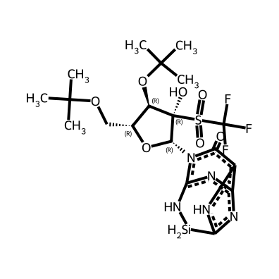 CC(C)(C)OC[C@H]1O[C@@H](n2c3nc4nc([nH]c4c2=O)[SiH2]N3)[C@](O)(S(=O)(=O)C(F)(F)F)[C@@H]1OC(C)(C)C